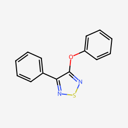 c1ccc(Oc2nsnc2-c2ccccc2)cc1